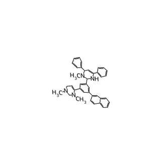 CN1CC=C(c2cc(-c3ccc4ccccc4c3)cc(C3NC(c4ccccc4)=CC(c4ccccc4)N3C)c2)N(C)C1